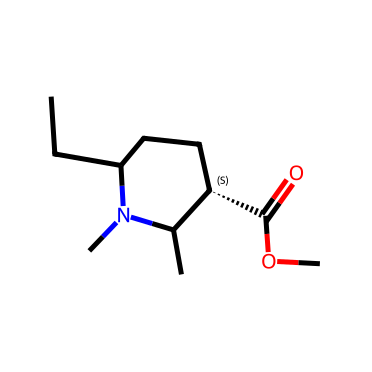 CCC1CC[C@H](C(=O)OC)C(C)N1C